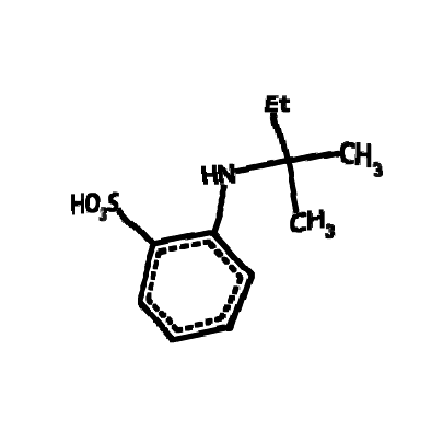 CCC(C)(C)Nc1ccccc1S(=O)(=O)O